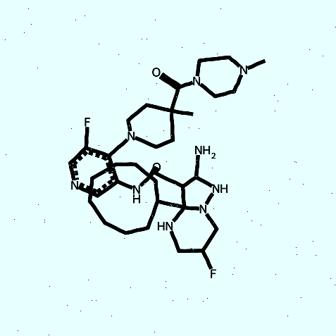 CN1CCN(C(=O)C2(C)CCN(c3c(F)cncc3NC(=O)C3C(N)NN4CC(F)CNC34C3CCCCCCCC3)CC2)CC1